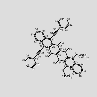 BCc1c2c(c(CB)c3ccccc13)C(C)C1=C(C(C)c3c(c(C#CC(/C=C\C)=C/C)c4ccccc4c3C#CC(/C=C\C)=C/C)C1C)C2C